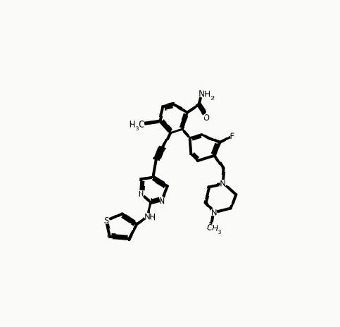 Cc1ccc(C(N)=O)c(-c2ccc(CN3CCN(C)CC3)c(F)c2)c1C#Cc1cnc(Nc2ccsc2)nc1